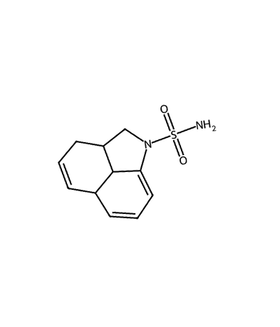 NS(=O)(=O)N1CC2CC=CC3C=CC=C1C32